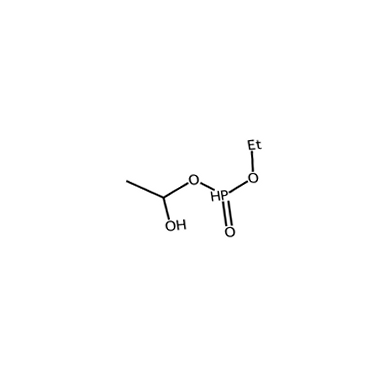 CCO[PH](=O)OC(C)O